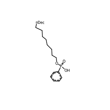 CCCCCCCCCCCCCCCCCCOP(=O)(O)c1ccccc1